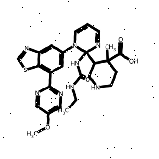 CCNC(=O)NC1(C2CNCCC2(C)C(=O)O)N=CC=CN1c1cc(-c2ncc(OC)cn2)c2scnc2c1